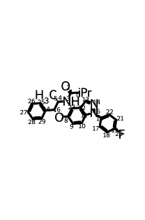 CC(C)C(=O)N[C@@H](C)[C@H](Oc1ccc2c(cnn2-c2ccc(F)cc2)c1)c1ccccc1